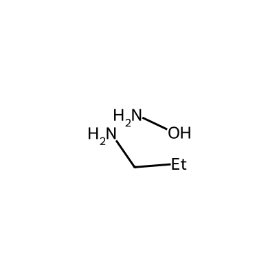 CCCN.NO